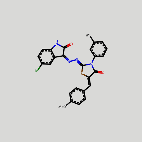 COc1ccc(C=C2SC(=NN=C3C(=O)Nc4ccc(Br)cc43)N(c3cccc(C(C)C)c3)C2=O)cc1